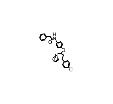 O=C(Cc1ccccc1)Nc1ccc(OC(CCc2ccc(Cl)cc2)Cn2ccnc2)cc1